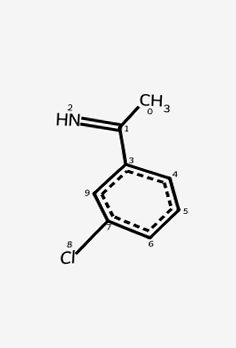 CC(=N)c1cccc(Cl)c1